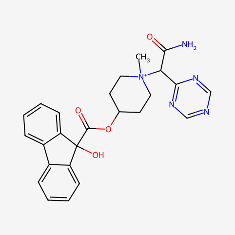 C[N+]1(C(C(N)=O)c2ncncn2)CCC(OC(=O)C2(O)c3ccccc3-c3ccccc32)CC1